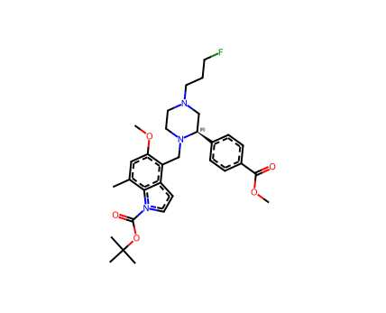 COC(=O)c1ccc([C@@H]2CN(CCCF)CCN2Cc2c(OC)cc(C)c3c2ccn3C(=O)OC(C)(C)C)cc1